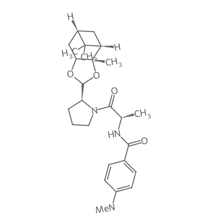 CNc1ccc(C(=O)N[C@H](C)C(=O)N2CCC[C@H]2C2OC3C[C@@H]4C[C@@H](C4(C)C)[C@]3(C)O2)cc1